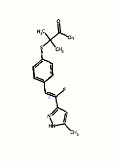 Cc1cc(/C(F)=C/c2ccc(SC(C)(C)C(=O)O)cc2)n[nH]1